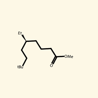 CC[C@@H](CCCC(=O)OC)CCC(C)(C)C